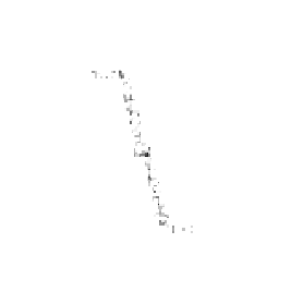 CCCCCCCCOCCOCCOCCOCCOCCOCCOCCOCCOCC(=O)[O-].[Na+]